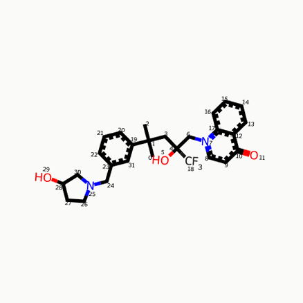 CC(C)(CC(O)(Cn1ccc(=O)c2ccccc21)C(F)(F)F)c1cccc(CN2CCC(O)C2)c1